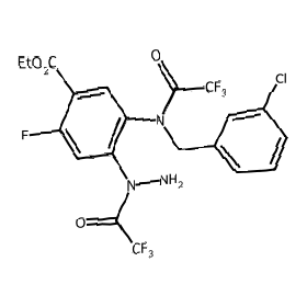 CCOC(=O)c1cc(N(Cc2cccc(Cl)c2)C(=O)C(F)(F)F)c(N(N)C(=O)C(F)(F)F)cc1F